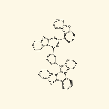 c1ccc2sc3nc(-c4cccc5oc6ccccc6c45)nc(-c4cccc(-n5c6ccccc6c6c7c#cccc7c7sc8ccccc8c7c65)c4)c3c2c#1